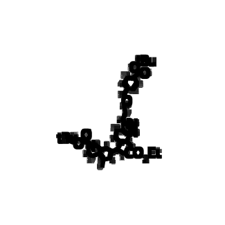 CCOC(=O)CC(c1cc(C)c2c(c1)CN(C(=O)OC(C)(C)C)CC2)c1ccc2c(nnn2CCCOCc2ccc(C(=O)OC(C)(C)C)cc2)c1C